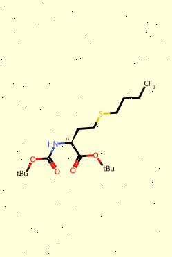 CC(C)(C)OC(=O)N[C@@H](CCSCCCC(F)(F)F)C(=O)OC(C)(C)C